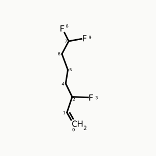 C=CC(F)CCCC(F)F